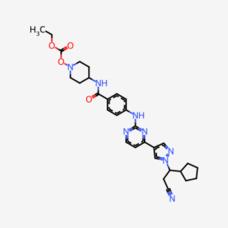 CCOC(=O)ON1CCC(NC(=O)c2ccc(Nc3nccc(-c4cnn(C(CC#N)C5CCCC5)c4)n3)cc2)CC1